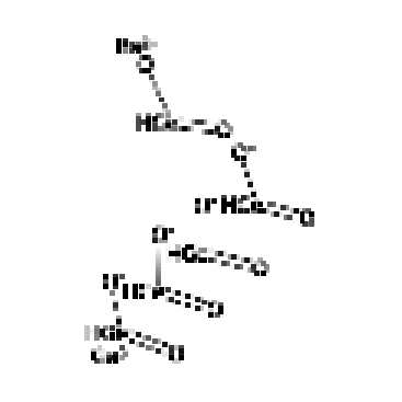 [Ba+2].[Ga+3].[O]=[GeH][O-].[O]=[GeH][O-].[O]=[GeH][O-].[O]=[GeH][O-].[O]=[GeH][O-]